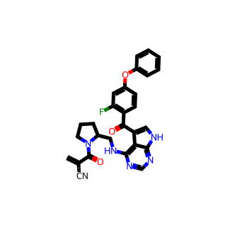 C=C(C#N)C(=O)N1CCCC1CNc1ncnc2[nH]cc(C(=O)c3ccc(Oc4ccccc4)cc3F)c12